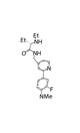 CCN[C@@H](CC)C(=O)NCc1ccnc(-c2ccc(NC)c(F)c2)c1